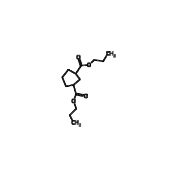 CCCOC(=O)C1CCCC(C(=O)OCCC)C1